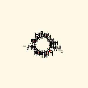 CCC1NC(=O)C(Cc2ccccc2)NC(=O)CSCC(C(=O)NCC(N)=O)NC(=O)C(Cc2cncn2C)NC(=O)C(CC)NC(=O)C(Cc2c[nH]cn2)NC(=O)C(Cc2ccccc2)N(C)C(=O)C(CCCNC(=N)N)NC(=O)C(CO)NC(=O)CNC(=O)C(Cc2c[nH]cn2)NC(=O)C(Cc2c[nH]c3ccccc23)NC1=O